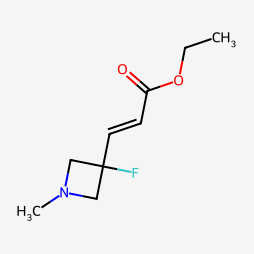 CCOC(=O)/C=C/C1(F)CN(C)C1